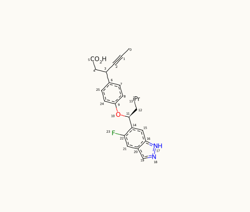 CC#CC(CC(=O)O)c1ccc(O[C@@H](CC(C)C)c2cc3[nH]ncc3cc2F)cc1